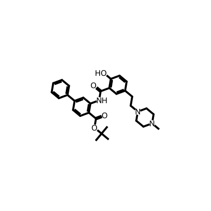 CN1CCN(CCc2ccc(O)c(C(=O)Nc3cc(-c4ccccc4)ccc3C(=O)OC(C)(C)C)c2)CC1